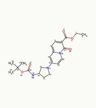 CCOC(=O)c1ccc2cc(N3CCC(NC(=O)OC(C)(C)C)C3)ccn2c1=O